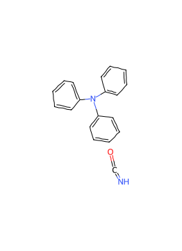 N=C=O.c1ccc(N(c2ccccc2)c2ccccc2)cc1